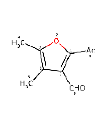 CC(=O)c1oc(C)c(C)c1C=O